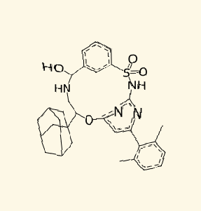 Cc1cccc(C)c1-c1cc2nc(n1)NS(=O)(=O)c1cccc(c1)C(O)NCC(C13CC4CC(CC(C4)C1)C3)O2